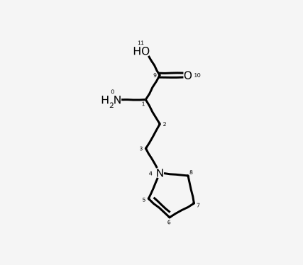 NC(CCN1C=CCC1)C(=O)O